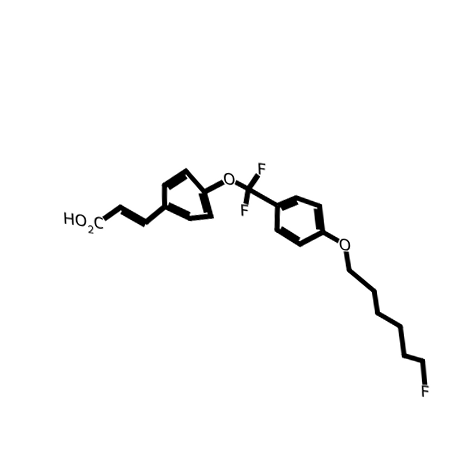 O=C(O)C=Cc1ccc(OC(F)(F)c2ccc(OCCCCCCF)cc2)cc1